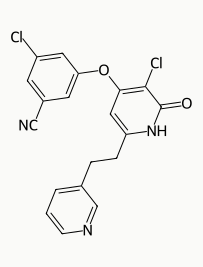 N#Cc1cc(Cl)cc(Oc2cc(CCc3cccnc3)[nH]c(=O)c2Cl)c1